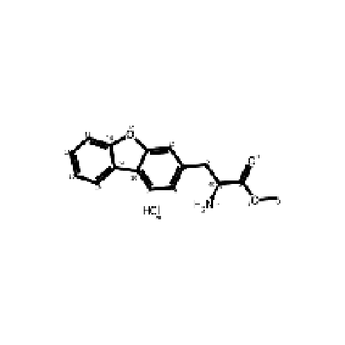 COC(=O)[C@@H](N)Cc1ccc2c(c1)oc1ccccc12.Cl